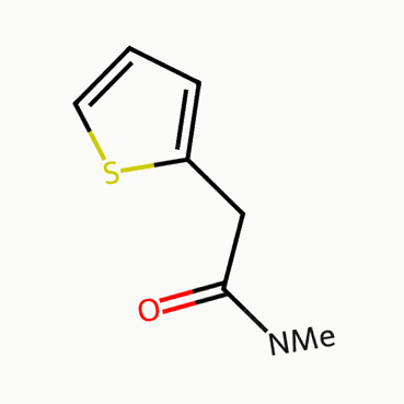 CNC(=O)Cc1cccs1